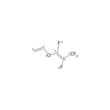 C=COC(F)=C(F)C(F)(F)F